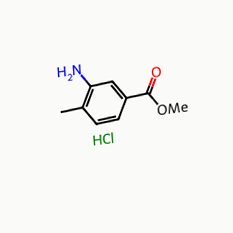 COC(=O)c1ccc(C)c(N)c1.Cl